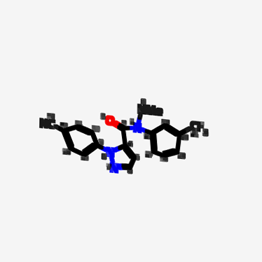 CNN(C(=O)c1ccnn1-c1ccc(C#N)cc1)c1cccc(C(F)(F)F)c1